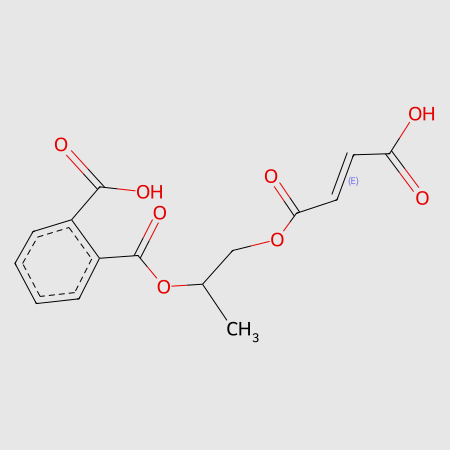 CC(COC(=O)/C=C/C(=O)O)OC(=O)c1ccccc1C(=O)O